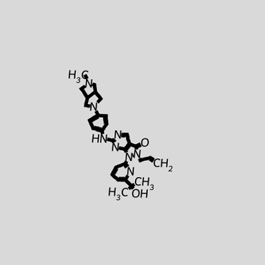 C=CCn1c(=O)c2cnc(Nc3ccc(N4CC5CN(C)CC5C4)cc3)nc2n1-c1cccc(C(C)(C)O)n1